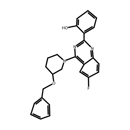 Oc1ccccc1-c1nc(N2CCCC(OCc3ccccc3)C2)c2cc(F)ccc2n1